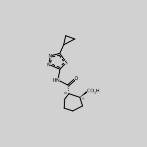 O=C(O)[C@H]1CCCC[C@@H]1C(=O)Nc1nnc(C2CC2)s1